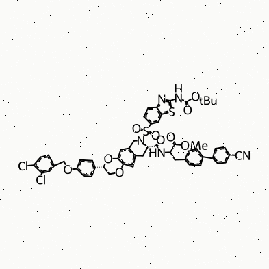 COC(=O)C(Cc1ccc(-c2ccc(C#N)cc2)cc1)NC(=O)[C@@H]1Cc2cc3c(cc2CN1S(=O)(=O)c1ccc2nc(NC(=O)OC(C)(C)C)sc2c1)O[C@@H](c1ccc(OCc2ccc(Cl)c(Cl)c2)cc1)CO3